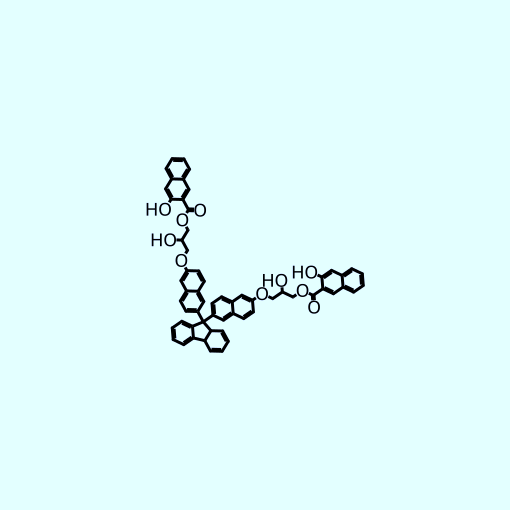 O=C(OCC(O)COc1ccc2cc(C3(c4ccc5cc(OCC(O)COC(=O)c6cc7ccccc7cc6O)ccc5c4)c4ccccc4C4C=CC=CC43)ccc2c1)c1cc2ccccc2cc1O